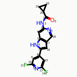 O=C(Nc1cc2[nH]c(-c3cc(F)nc(F)c3)cc2cn1)C1CC1